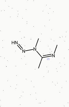 C/N=C(/C)N(C)N=N